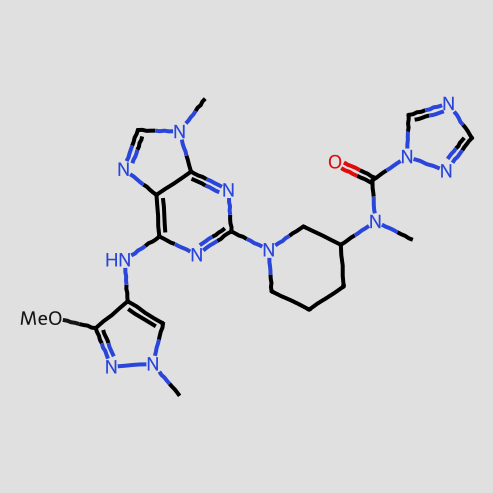 COc1nn(C)cc1Nc1nc(N2CCCC(N(C)C(=O)n3cncn3)C2)nc2c1ncn2C